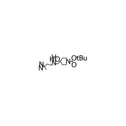 CC1(CCNCC2(O)CCN(C(=O)OC(C)(C)C)CC2)N=N1